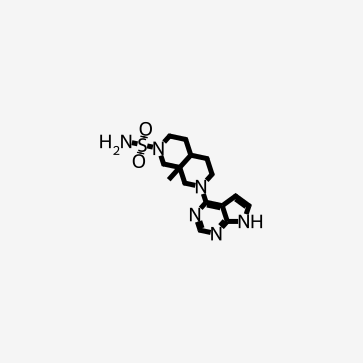 CC12CN(c3ncnc4[nH]ccc34)CCC1CCN(S(N)(=O)=O)C2